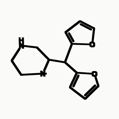 c1coc(C(c2ccco2)C2CNCC[N]2)c1